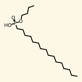 CCCCCCCCCCCCCCCCP(=O)(O)OCCCC